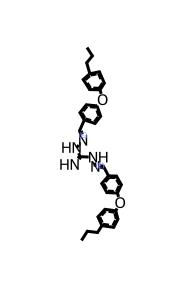 CCCc1ccc(Oc2ccc(/C=N/NC(=N)N/N=C/c3ccc(Oc4ccc(CCC)cc4)cc3)cc2)cc1